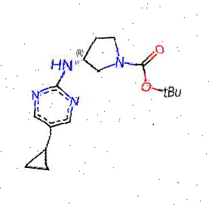 CC(C)(C)OC(=O)N1CC[C@@H](Nc2ncc(C3CC3)cn2)C1